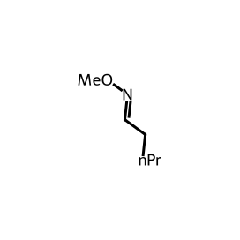 [CH2]CCC/C=N/OC